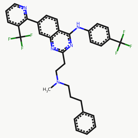 CN(CCCc1ccccc1)CCc1nc(Nc2ccc(C(F)(F)F)cc2)c2ccc(-c3ncccc3C(F)(F)F)cc2n1